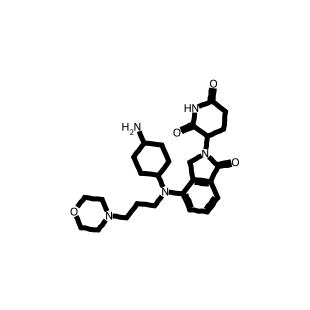 NC1CCC(N(CCCN2CCOCC2)c2cccc3c2CN(C2CCC(=O)NC2=O)C3=O)CC1